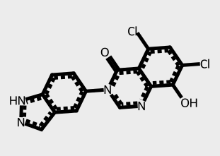 O=c1c2c(Cl)cc(Cl)c(O)c2ncn1-c1ccc2[nH]ncc2c1